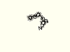 COc1cc(CC#N)ccc1OCCc1cccc(OCc2ccccc2)c1